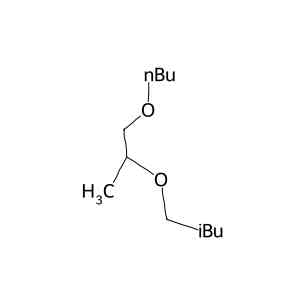 [CH2]CCCOCC(C)OCC(C)C[CH2]